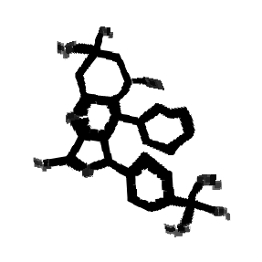 CC1OC(c2ccc(C(C)(C)C)cc2)c2c1nc1c(c2C2CCCCC2)[C@@H](O)CC(C)(C)C1